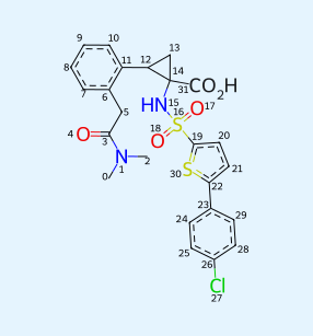 CN(C)C(=O)Cc1ccccc1C1CC1(NS(=O)(=O)c1ccc(-c2ccc(Cl)cc2)s1)C(=O)O